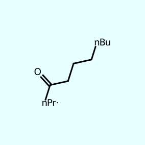 CC[CH]C(=O)CCCCCCC